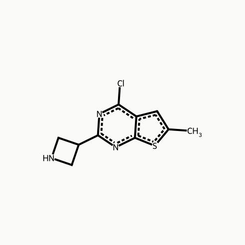 Cc1cc2c(Cl)nc(C3CNC3)nc2s1